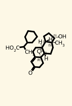 CC(C(=O)O)C1CCCCC1.C[C@]12CC[C@H]3[C@@H](CCC4=CC(=O)CC[C@@]43C)[C@@H]1CC[C@@H]2O